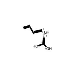 C=CC=C.O=C(O)O.[LiH]